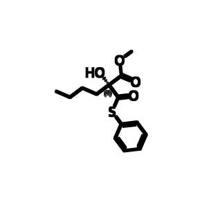 CCCC[C@@](O)(C(=O)OC)C(=O)Sc1ccccc1